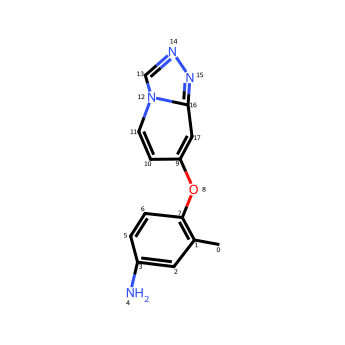 Cc1cc(N)ccc1Oc1ccn2cnnc2c1